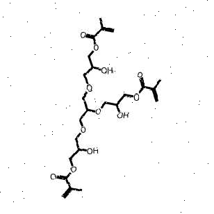 C=C(C)C(=O)OCC(O)COCC(COCC(O)COC(=O)C(=C)C)OCC(O)COC(=O)C(=C)C